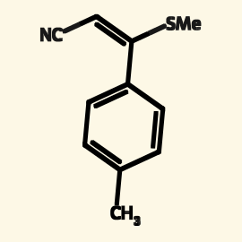 CS/C(=C/C#N)c1ccc(C)cc1